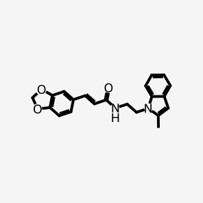 Cc1cc2ccccc2n1CCNC(=O)/C=C/c1ccc2c(c1)OCO2